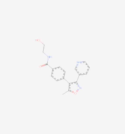 Cc1onc(-c2cccnc2)c1-c1ccc(C(=O)NCCO)cc1